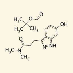 CC(C)(C)OC=O.CN(C)C(=O)CCc1n[nH]c2cc(O)ccc12